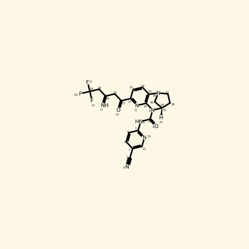 N#Cc1ccc(NC(=O)N2c3nc(C(=O)CC(=N)CC(F)(F)F)ccc3N3CC[C@H]2C3)nc1